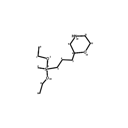 CCO[Si](C)(CCCC1CNCCO1)OCC